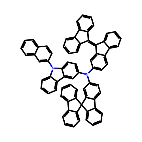 c1ccc2c(c1)C(=C1c3ccccc3-c3ccc(N(c4ccc5c(c4)C4(c6ccccc6-c6ccccc64)c4ccccc4-5)c4ccc5c(c4)c4ccccc4n5-c4ccc5ccccc5c4)cc31)c1ccccc1-2